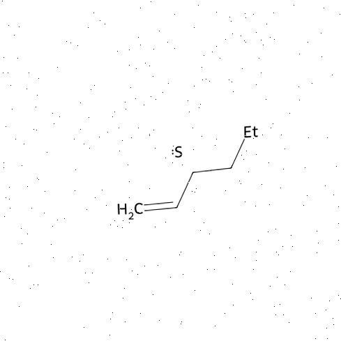 C=CCCCC.[S]